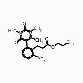 CCCOC(=O)CCc1c(N)cccc1-c1c(C)n(C)c(=O)n(C)c1=O